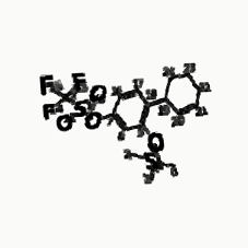 C[Si](C)(C)Oc1cc(OS(=O)(=O)C(F)(F)F)ccc1C1C=CCCC1